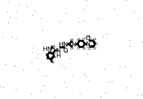 Cc1ccc2[nH]nc(NCC(=O)NC3CN(C4CCC(n5ccccc5=O)CC4)C3)c2c1